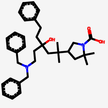 CC(C)(CC(O)(CCc1ccccc1)CCN(Cc1ccccc1)Cc1ccccc1)C1CN(C(=O)O)C(C)(C)C1